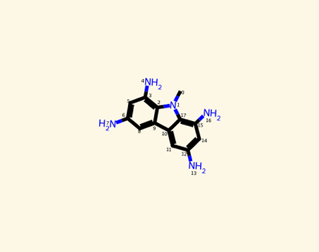 Cn1c2c(N)cc(N)cc2c2cc(N)cc(N)c21